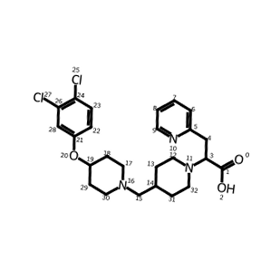 O=C(O)C(Cc1ccccn1)N1CCC(CN2CCC(Oc3ccc(Cl)c(Cl)c3)CC2)CC1